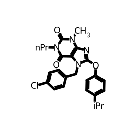 CCCn1c(=O)c2c(nc(Oc3ccc(C(C)C)cc3)n2Cc2ccc(Cl)cc2)n(C)c1=O